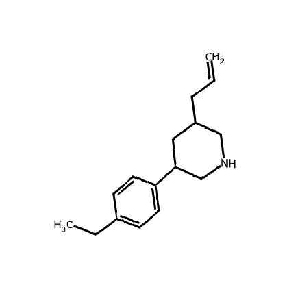 C=CCC1CNCC(c2ccc(CC)cc2)C1